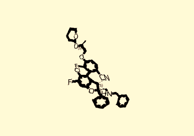 C[C@@H](COc1ccc(C#N)c(-c2c(Cl)c(F)cc3c2[C@H](C)[C@@](CNCc2ccccc2)(c2ccccc2)O3)c1F)OC1CCCCO1